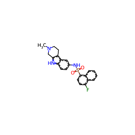 CN1CCc2c([nH]c3ccc(NS(=O)(=O)c4ccc(F)c5ccccc45)cc23)C1